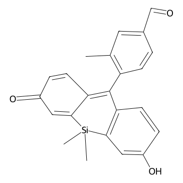 Cc1cc(C=O)ccc1C1=C2C=CC(=O)C=C2[Si](C)(C)c2cc(O)ccc21